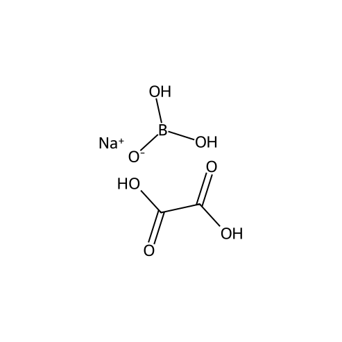 O=C(O)C(=O)O.[Na+].[O-]B(O)O